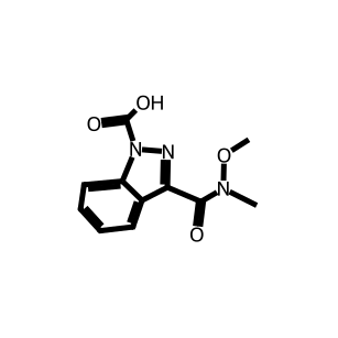 CON(C)C(=O)c1nn(C(=O)O)c2ccccc12